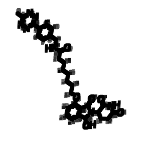 Cc1nnc(-c2ccc(CNC(=O)CCCCCCCOc3cccc4c3C(=O)N(C3CCC(=O)NC3=O)C4O)cc2)nn1